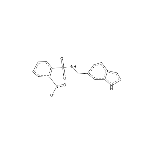 O=[N+]([O-])c1ccccc1S(=O)(=O)NCc1ccc2cc[nH]c2c1